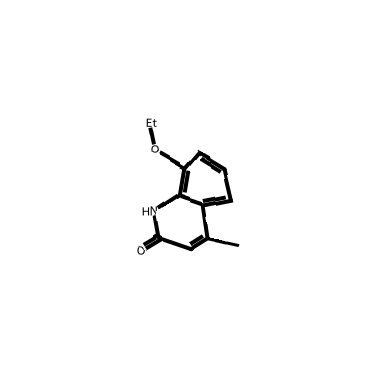 CCOc1cccc2c(C)cc(=O)[nH]c12